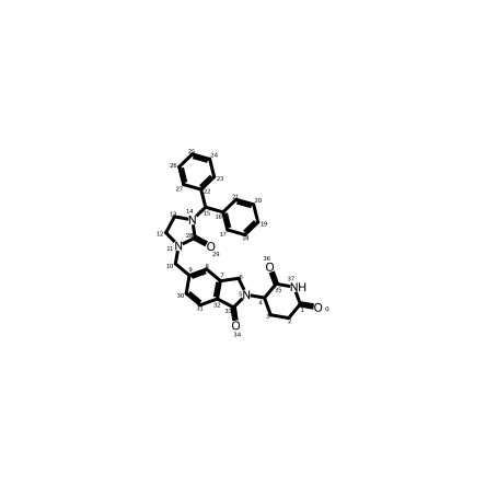 O=C1CCC(N2Cc3cc(CN4CCN(C(c5ccccc5)c5ccccc5)C4=O)ccc3C2=O)C(=O)N1